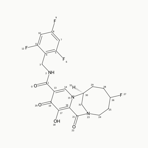 O=C(NCc1c(F)cc(F)cc1F)c1cn2c(c(O)c1=O)C(=O)N1CCC(F)CC[C@H]2C1